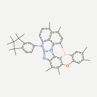 Cc1cc2c(cc1C)B1c3c(c(C)c(C)c4nc5n(-c6ccc7c(c6)C(C)(C)C(C)(C)C7(C)C)c6ccc(C)c7c(C)cc1c(c76)n5c34)O2